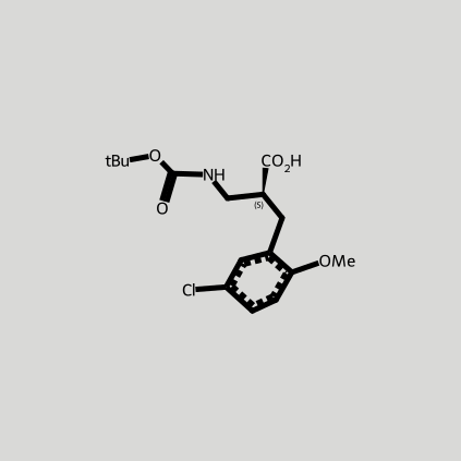 COc1ccc(Cl)cc1C[C@@H](CNC(=O)OC(C)(C)C)C(=O)O